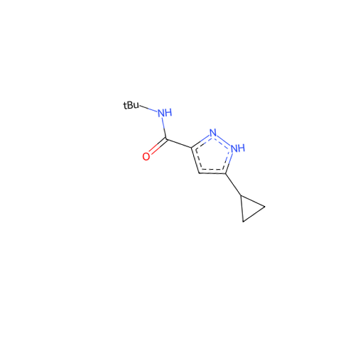 CC(C)(C)NC(=O)c1cc(C2CC2)[nH]n1